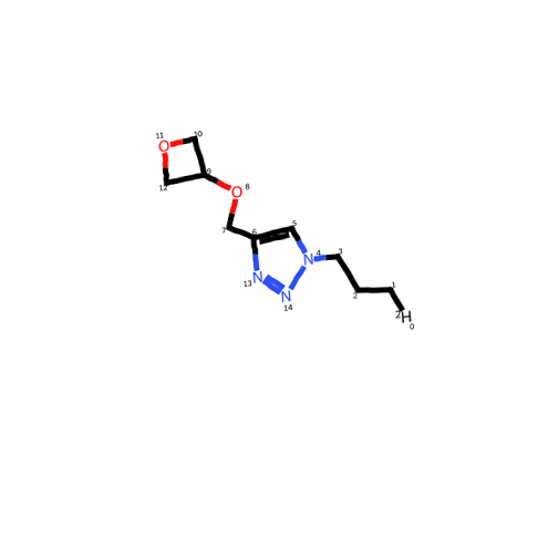 [2H]CCCn1cc(COC2COC2)nn1